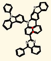 c1ccc(-c2cc3c(cc2N(c2ccc(-c4nc(-c5ccccc5)c5ccccc5n4)cc2)c2ccc4c(c2)c2ccccc2n4-c2ccccc2)sc2ccccc23)cc1